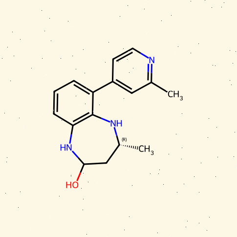 Cc1cc(-c2cccc3c2N[C@H](C)CC(O)N3)ccn1